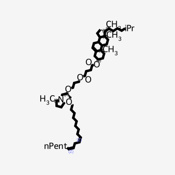 CCCCC/C=C\C/C=C\CCCCCCCCOC[C@@H](CN1CCC[C@@H]1C)OCCCOC(=O)CCC(=O)O[C@H]1CC[C@@]2(C)C(=CCC3C2CC[C@@]2(C)C3CC[C@@H]2[C@H](C)CCCC(C)C)C1